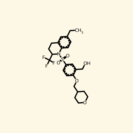 CCc1ccc2c(c1)CCC(C(F)(F)F)N2S(=O)(=O)c1ccc(OCC2CCOCC2)c(CO)c1